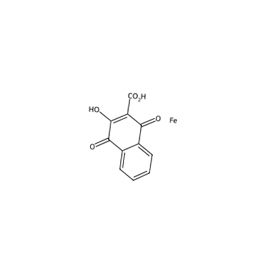 O=C(O)C1=C(O)C(=O)c2ccccc2C1=O.[Fe]